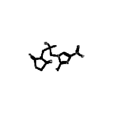 CC(O)(CN1C(=O)CCC1=O)Cn1cc([N+](=O)[O-])nc1Cl